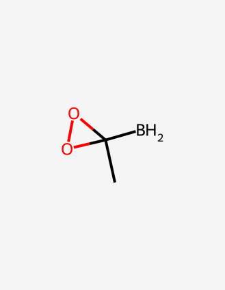 BC1(C)OO1